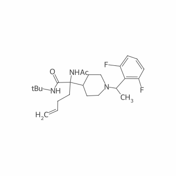 C=CCCC(NC(C)=O)(C(=O)NC(C)(C)C)C1CCN(C(C)c2c(F)cccc2F)CC1